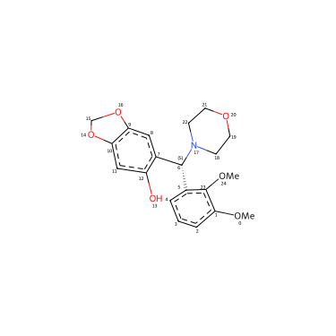 COc1cccc([C@H](c2cc3c(cc2O)OCO3)N2CCOCC2)c1OC